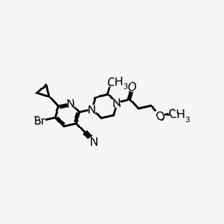 COCCC(=O)N1CCN(c2nc(C3CC3)c(Br)cc2C#N)CC1C